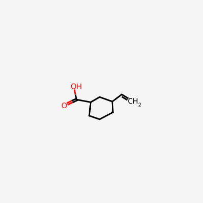 C=CC1CCCC(C(=O)O)C1